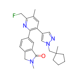 Cc1cc(-c2cnn(CC3(C)CCCC3)c2)c(-c2ccc3c(c2)C(=O)N(C)C3)nc1CF